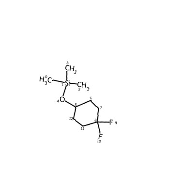 C[Si](C)(C)OC1CCC(F)(F)CC1